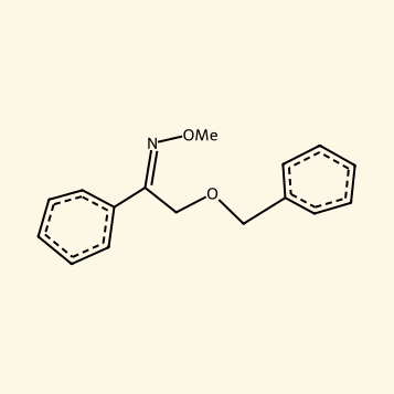 CON=C(COCc1ccccc1)c1ccccc1